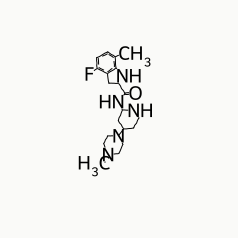 Cc1ccc(F)c2c1NC(C(=O)NC1CC(N3CCN(C)CC3)CCN1)C2